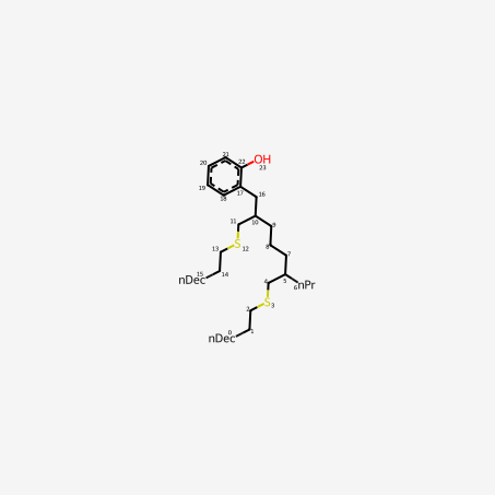 CCCCCCCCCCCCSCC(CCC)CCCC(CSCCCCCCCCCCCC)Cc1ccccc1O